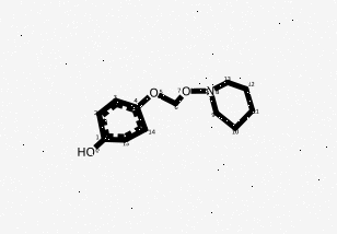 Oc1ccc(OCON2CCCCC2)cc1